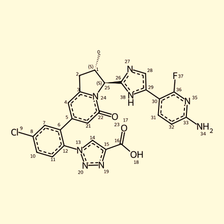 C[C@H]1Cc2cc(-c3cc(Cl)ccc3-n3cc(C(=O)O)nn3)cc(=O)n2[C@@H]1c1ncc(-c2ccc(N)nc2F)[nH]1